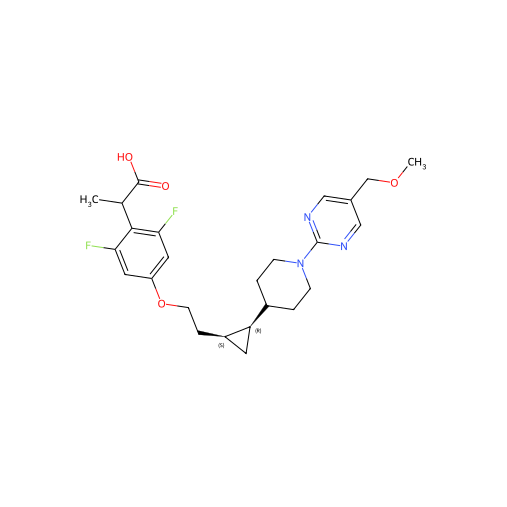 COCc1cnc(N2CCC([C@H]3C[C@H]3CCOc3cc(F)c(C(C)C(=O)O)c(F)c3)CC2)nc1